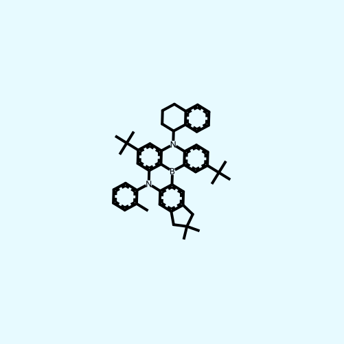 Cc1ccccc1N1c2cc3c(cc2B2c4cc(C(C)(C)C)ccc4N(C4CCCc5ccccc54)c4cc(C(C)(C)C)cc1c42)CC(C)(C)C3